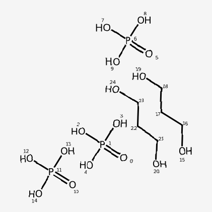 O=P(O)(O)O.O=P(O)(O)O.O=P(O)(O)O.OCCCO.OCCCO